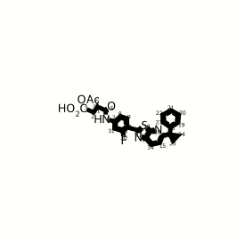 CC(=O)O[C@@H](CC(=O)O)C(=O)Nc1ccc(-c2nc3ccc(C4(c5ccccc5)C=C4)nc3s2)c(F)c1